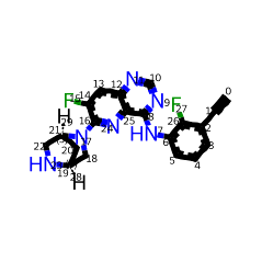 C#Cc1cccc(Nc2ncnc3cc(F)c(N4C[C@@H]5C[C@H]4CN5)nc23)c1F